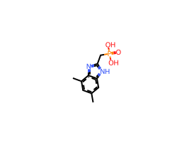 Cc1cc(C)c2nc(CP(=O)(O)O)[nH]c2c1